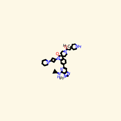 CC(C)n1cnc2cc(-c3ccc4c(c3)N(C3CC(N5CCCCC5)C3)C(=O)C43CCN(C(=O)CC4(C)CCNCC4)CC3)nc(NC3CC3)c21